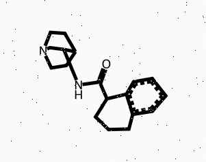 O=C(NC1CN2CCC1CC2)C1CCCc2ccccc21